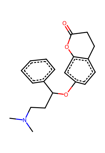 CN(C)CCC(Oc1ccc2c(c1)OC(=O)CC2)c1ccccc1